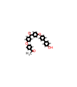 CC(=O)c1ccc(Oc2ccc(C(=O)c3ccc(Oc4ccc(-c5ccc(O)cc5)cc4)cc3)cc2)cc1